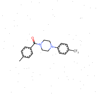 Cc1ccc(C(=O)N2CCN(c3ccc(C(F)(F)F)cc3)CC2)cc1